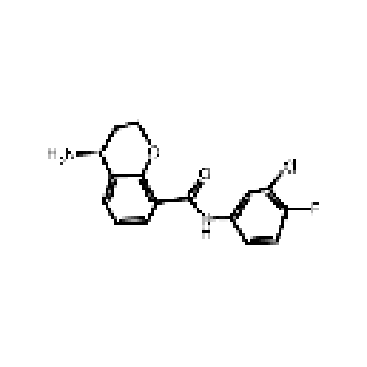 N[C@H]1CCOc2c(C(=O)Nc3ccc(F)c(Cl)c3)cccc21